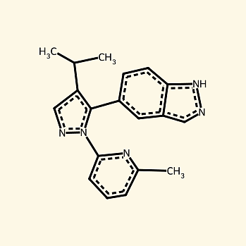 Cc1cccc(-n2ncc(C(C)C)c2-c2ccc3[nH]ncc3c2)n1